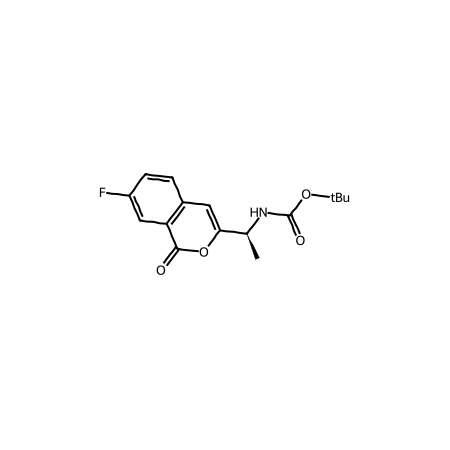 C[C@H](NC(=O)OC(C)(C)C)c1cc2ccc(F)cc2c(=O)o1